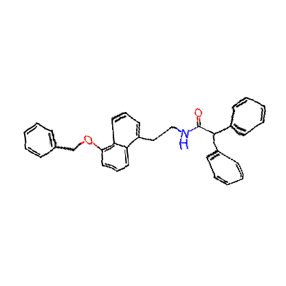 O=C(NCCc1cccc2c(OCc3ccccc3)cccc12)C(c1ccccc1)c1ccccc1